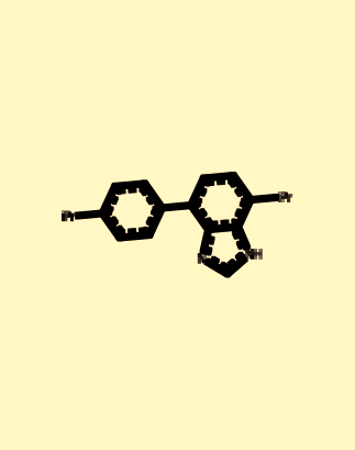 CC(C)c1ccc(-c2ccc(C(C)C)c3[nH]cnc23)cc1